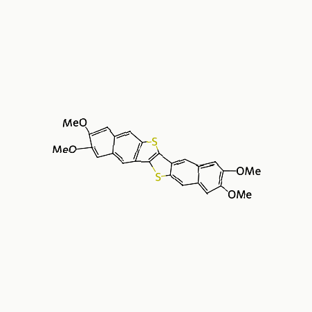 COc1cc2cc3sc4c5cc6cc(OC)c(OC)cc6cc5sc4c3cc2cc1OC